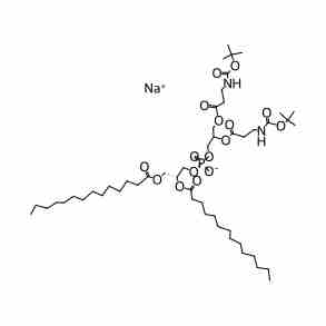 CCCCCCCCCCCCCC(=O)OC[C@H](COP(=O)([O-])OCC(COC(=O)CCNC(=O)OC(C)(C)C)OC(=O)CCNC(=O)OC(C)(C)C)OC(=O)CCCCCCCCCCCCC.[Na+]